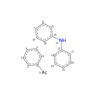 CC(=O)c1ccccc1.c1ccc(Nc2ccccc2)cc1